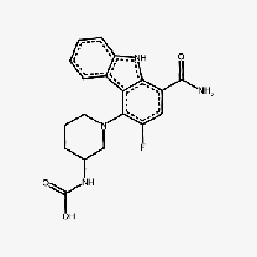 NC(=O)c1cc(F)c(N2CCCC(NC(=O)O)C2)c2c1[nH]c1ccccc12